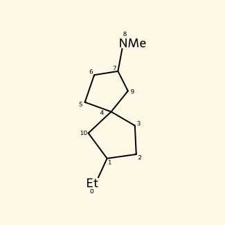 CCC1CCC2(CCC(NC)C2)C1